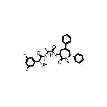 C[C@H](NC(=O)[C@H](O)c1cc(F)cc(F)c1)C(=O)N[C@H]1CC(c2ccccc2)=C[C@H](c2ccccc2)N(C)C1=O